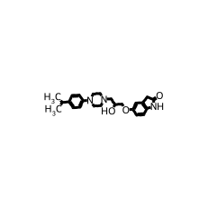 CC(C)c1ccc(N2CCN(CC(O)COc3ccc4c(c3)CC(=O)N4)CC2)cc1